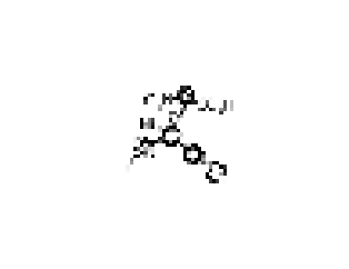 Cc1nc(-c2cc(-c3ccc(N4CCOCC4)cc3)nc(OCc3c([N+](=O)[O-])csc3C(=O)O)c2C#N)co1